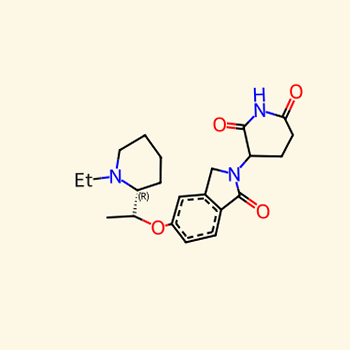 CCN1CCCC[C@@H]1C(C)Oc1ccc2c(c1)CN(C1CCC(=O)NC1=O)C2=O